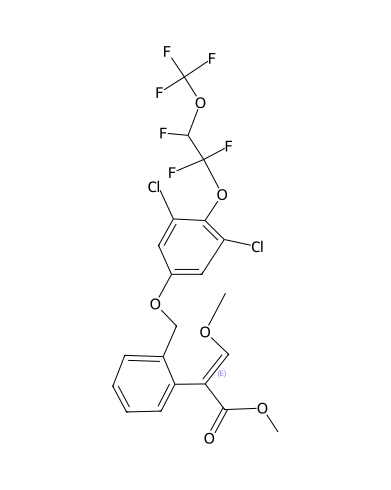 CO/C=C(/C(=O)OC)c1ccccc1COc1cc(Cl)c(OC(F)(F)C(F)OC(F)(F)F)c(Cl)c1